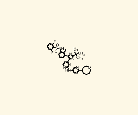 CC(C)(C)c1nc(-c2cccc(NS(=O)(=O)c3c(F)cccc3F)c2F)c(-c2ccnc(Nc3ccc(C4CCCCOCC4)nc3)n2)s1